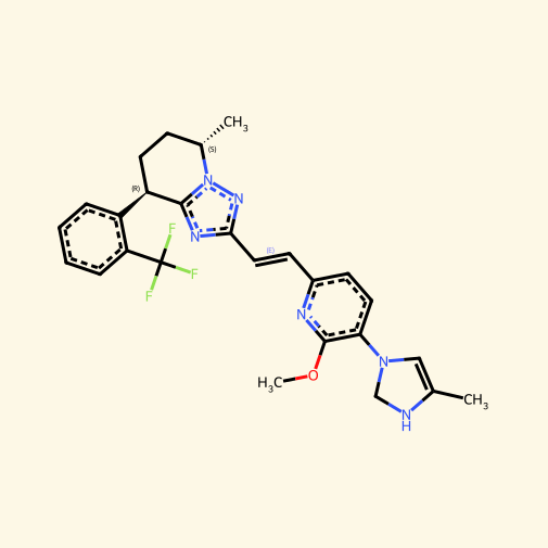 COc1nc(/C=C/c2nc3n(n2)[C@@H](C)CC[C@@H]3c2ccccc2C(F)(F)F)ccc1N1C=C(C)NC1